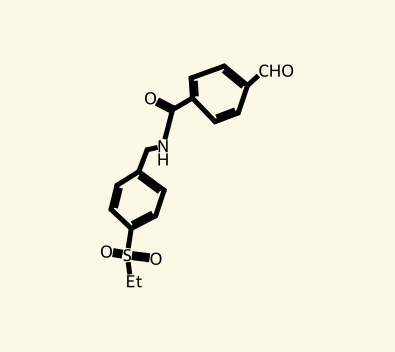 CCS(=O)(=O)c1ccc(CNC(=O)c2ccc(C=O)cc2)cc1